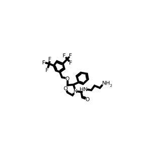 NCCCNC(C=O)N1CCOC(OCc2cc(C(F)(F)F)cc(C(F)(F)F)c2)C1c1ccccc1